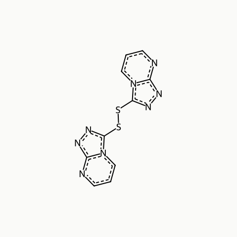 c1cnc2nnc(SSc3nnc4ncccn34)n2c1